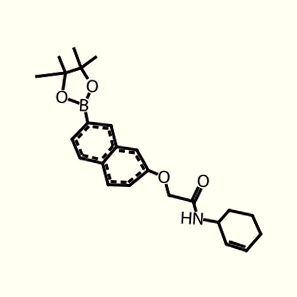 CC1(C)OB(c2ccc3ccc(OCC(=O)NC4C=CCCC4)cc3c2)OC1(C)C